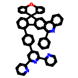 c1ccc(-c2nc3ccccc3c3cc4c(cc23)-c2c(-c3ccc(-c5cc(-c6ccccn6)nc(-c6ccccn6)c5)cc3)cccc2C42c3ccccc3Oc3ccccc32)cc1